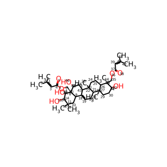 CC(C)=CC(=O)OC[C@@]12C(CC(C)(C)[C@@H](O)[C@@H]1O)C1=CCC3[C@@](C)(CCC4[C@]3(C)CC[C@H](O)[C@]4(C)COC(=O)C=C(C)C)C1C[C@H]2O